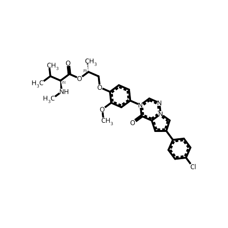 CN[C@H](C(=O)O[C@H](C)COc1ccc(-n2cnn3cc(-c4ccc(Cl)cc4)cc3c2=O)cc1OC)C(C)C